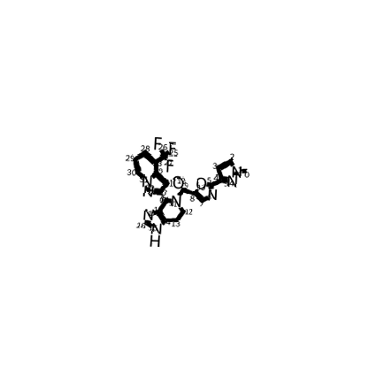 Cn1ccc(-c2ncc(C(=O)N3CCc4[nH]cnc4[C@@H]3c3cc4c(C(F)(F)F)cccn4n3)o2)n1